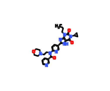 CCCn1c(=O)n(C2CC2)c(=O)c2[nH]c(-c3ccc(N(CCN4CCOCC4)C(=O)c4cccnc4)nc3)nc21